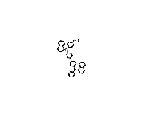 O=Cc1ccc(N(c2ccc(-c3ccc(N(c4ccccc4)c4cccc5ccccc45)cc3)cc2)c2cccc3ccccc23)cc1